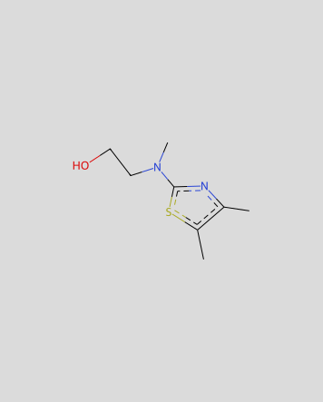 Cc1nc(N(C)CCO)sc1C